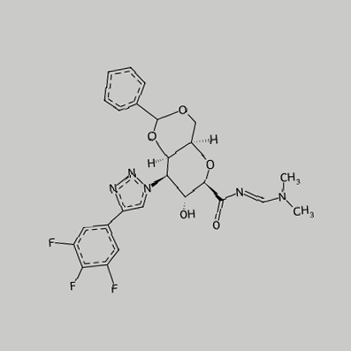 CN(C)C=NC(=O)[C@@H]1O[C@@H]2COC(c3ccccc3)O[C@@H]2[C@H](n2cc(-c3cc(F)c(F)c(F)c3)nn2)[C@H]1O